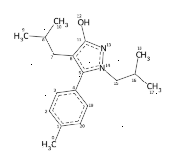 Cc1ccc(-c2c(CC(C)C)c(O)nn2CC(C)C)cc1